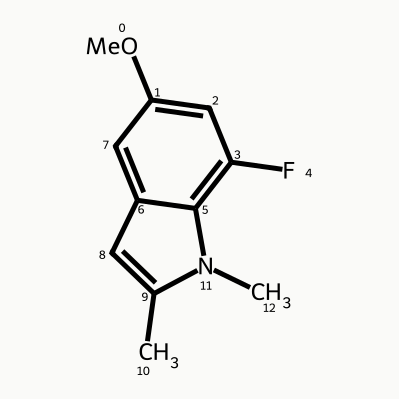 COc1cc(F)c2c(c1)cc(C)n2C